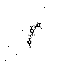 COc1cc(C(=O)NC(C)c2ccc(NC(=O)OCc3ccc(Cl)cc3)cc2)cnc1C